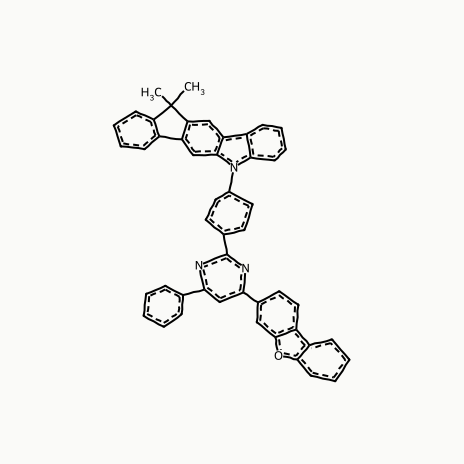 CC1(C)c2ccccc2-c2cc3c(cc21)c1ccccc1n3-c1ccc(-c2nc(-c3ccccc3)cc(-c3ccc4c(c3)oc3ccccc34)n2)cc1